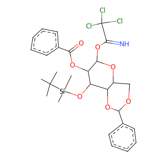 CC(C)(C)[Si](C)(C)OC1C2OC(c3ccccc3)OCC2OC(OC(=N)C(Cl)(Cl)Cl)C1OC(=O)c1ccccc1